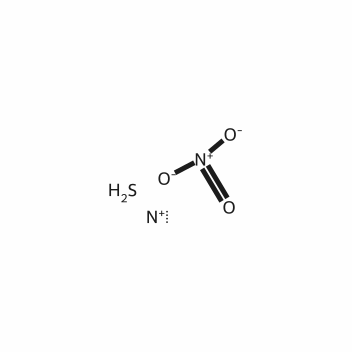 O=[N+]([O-])[O-].S.[N+]